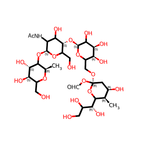 CC(=O)NC1C(O)[C@H](O[C@@H]2OC(CO[C@]3(OC=O)C[C@@H](O)[C@@H](C)C([C@H](O)C(O)CO)O3)[C@H](O)[C@H](O)C2O)C(CO)O[C@H]1OC1[C@@H](O)[C@H](O)C(CO)O[C@@H]1C